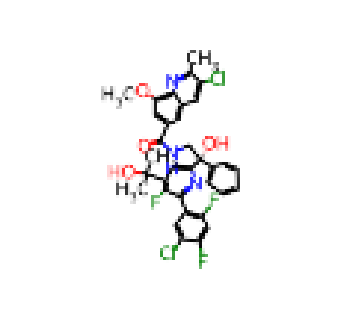 COc1cc(C(=O)NC[C@@](O)(c2ccccc2)c2cc(C(C)(C)O)c(F)c(-c3cc(Cl)c(F)cc3F)n2)cc2cc(Cl)c(C)nc12